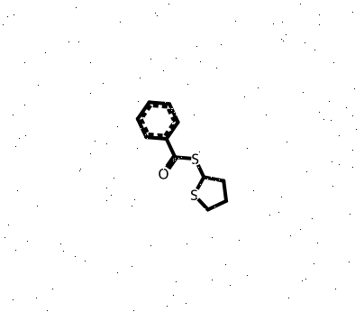 O=C(SC1CCCS1)c1ccccc1